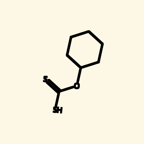 S=C(S)OC1CCCCC1